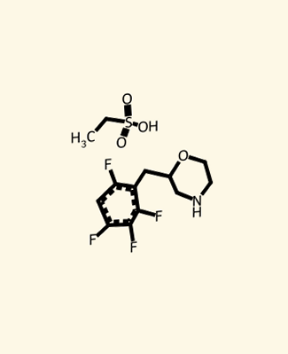 CCS(=O)(=O)O.Fc1cc(F)c(CC2CNCCO2)c(F)c1F